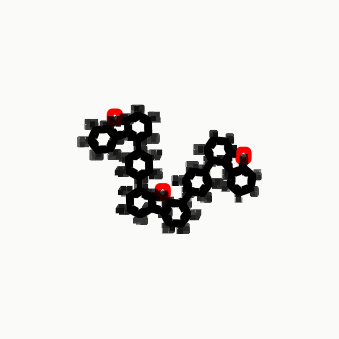 c1ccc2c(c1)oc1cccc(-c3ccc(-c4cccc5c4oc4c(-c6ccc(-c7cccc8oc9ccccc9c78)cc6)cccc45)cc3)c12